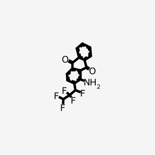 Nc1c(C(F)C(F)(F)C(F)F)ccc2c1C(=O)c1ccccc1C2=O